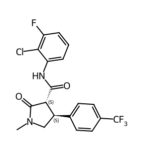 CN1C[C@H](c2ccc(C(F)(F)F)cc2)[C@@H](C(=O)Nc2cccc(F)c2Cl)C1=O